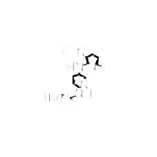 CC(C)(C)OC(=O)Nc1ccc(Nc2nc(F)ccc2[N+](=O)[O-])cn1